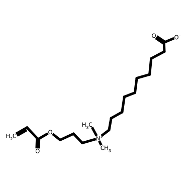 C=CC(=O)OCCC[N+](C)(C)CCCCCCCCCC(=O)[O-]